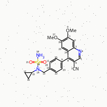 COc1cc2ncc(C#N)c(-c3ccc(CN(C4CC4)S(N)(=O)=O)cc3)c2cc1OC